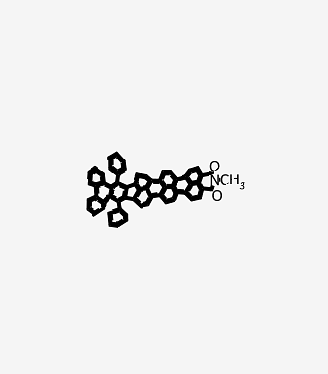 CN1C(=O)c2ccc3c4ccc5c6ccc7c8c(ccc(c9ccc(c%10ccc(c2c3%10)C1=O)c4c59)c86)-c1c-7c(-c2ccccc2)c2c3ccccc3c3ccccc3c2c1-c1ccccc1